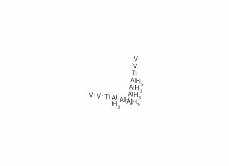 [AlH3].[AlH3].[AlH3].[AlH3].[AlH3].[AlH3].[Ti].[Ti].[V].[V].[V].[V]